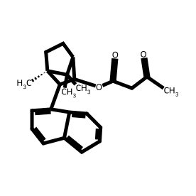 CC(=O)CC(=O)OC1C2CC[C@](C)(C1c1cccc3ccccc13)C2(C)C